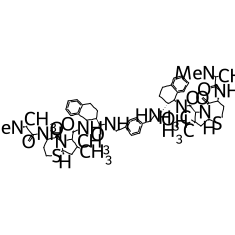 CN[C@@H](C)C(=O)N[C@H]1CCS[C@H]2CC(C)(C)[C@@H](C(=O)N[C@@H]3c4ccccc4CC[C@H]3C(=O)NCc3ccc(CNC(=O)[C@@H]4CCc5ccccc5[C@@H]4NC(=O)C4N5C(=O)[C@H](NC(=O)[C@H](C)NC)CCS[C@H]5CC4(C)C)cc3)N2C1=O